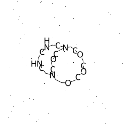 C1CNCCN2CCOCCOCCOCCN(CCN1)CCOCC2